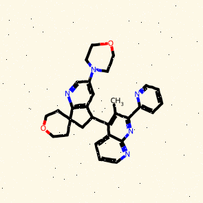 Cc1c(-c2ccccn2)nc2ncccc2c1C1CC2(CCOCC2)c2ncc(N3CCOCC3)cc21